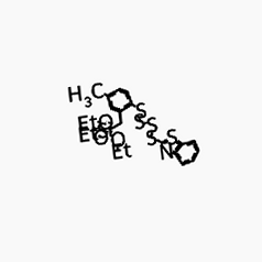 CCO[Si](Cc1cc(C)ccc1SSSSc1nc2ccccc2s1)(OCC)OCC